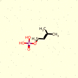 CC(C)=C[SiH2]OP(=O)(O)O